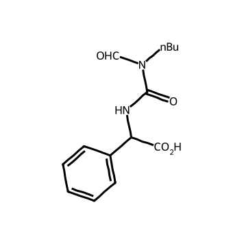 CCCCN(C=O)C(=O)NC(C(=O)O)c1ccccc1